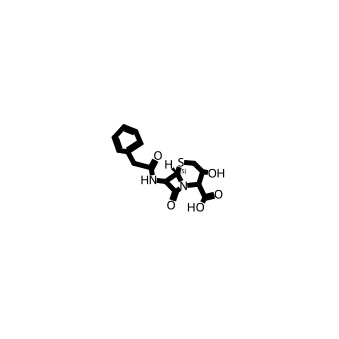 O=C(Cc1ccccc1)NC1C(=O)N2C(C(=O)O)C(O)CS[C@@H]12